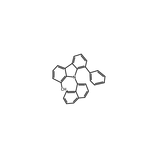 Cc1cccc2c3cccc(-c4ccccc4)c3n(-c3cccc4ccccc34)c12